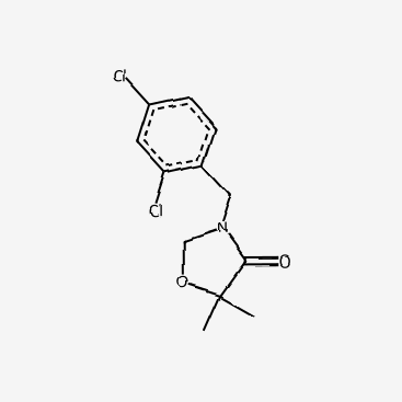 CC1(C)OCN(Cc2ccc(Cl)cc2Cl)C1=O